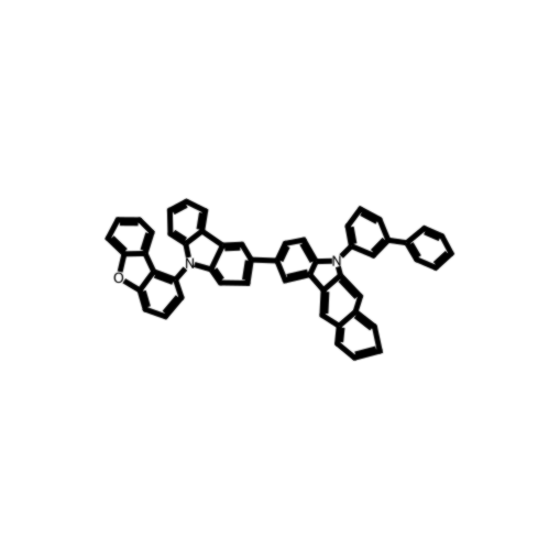 c1ccc(-c2cccc(-n3c4ccc(-c5ccc6c(c5)c5ccccc5n6-c5cccc6oc7ccccc7c56)cc4c4cc5ccccc5cc43)c2)cc1